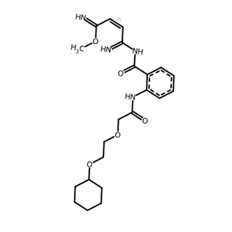 COC(=N)/C=C\C(=N)NC(=O)c1ccccc1NC(=O)COCCOC1CCCCC1